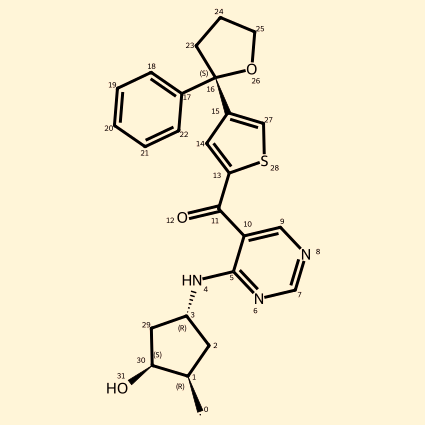 [CH2][C@@H]1C[C@@H](Nc2ncncc2C(=O)c2cc([C@@]3(c4ccccc4)CCCO3)cs2)C[C@@H]1O